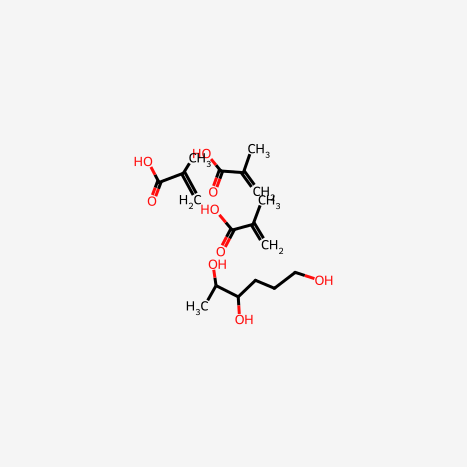 C=C(C)C(=O)O.C=C(C)C(=O)O.C=C(C)C(=O)O.CC(O)C(O)CCCO